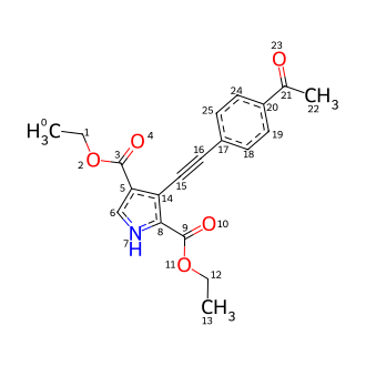 CCOC(=O)c1c[nH]c(C(=O)OCC)c1C#Cc1ccc(C(C)=O)cc1